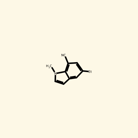 CCc1cc(C#N)c2c(ccn2C)c1